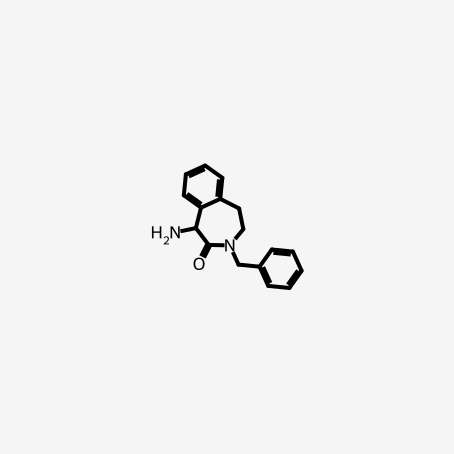 NC1C(=O)N(Cc2ccccc2)CCc2ccccc21